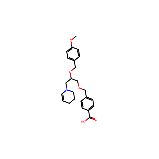 COc1ccc(COC(COCc2ccc(C(=O)O)cc2)CN2C=CCCC2)cc1